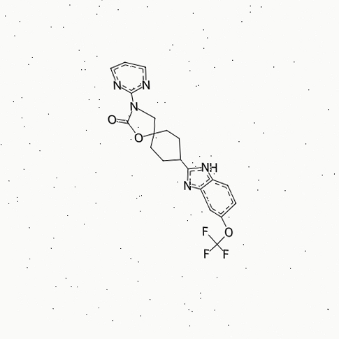 O=C1OC2(CCC(c3nc4cc(OC(F)(F)F)ccc4[nH]3)CC2)CN1c1ncccn1